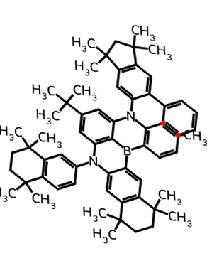 Cc1ccc2c(c1)N(c1cc3c(cc1-c1ccccc1)C(C)(C)CC3(C)C)c1cc(C(C)(C)C)cc3c1B2c1cc2c(cc1N3c1ccc3c(c1)C(C)(C)CCC3(C)C)C(C)(C)CCC2(C)C